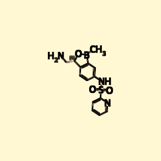 CB1O[C@@H](CN)c2ccc(NS(=O)(=O)c3ccccn3)cc21